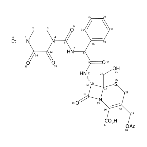 CCN1CCN(C(=O)NC(C(=O)N[C@H]2C(=O)N3C(C(=O)O)=C(COC(C)=O)CSC23CO)c2ccccc2)C(=O)C1=O